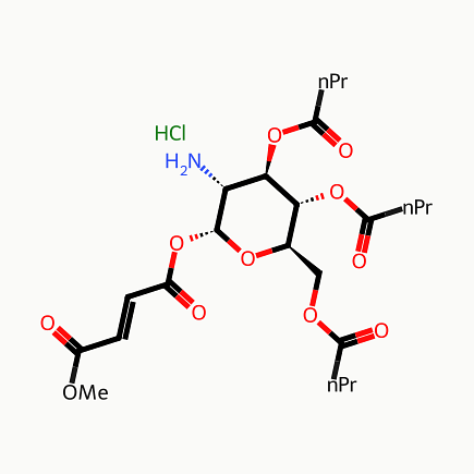 CCCC(=O)OC[C@H]1O[C@H](OC(=O)/C=C/C(=O)OC)[C@H](N)[C@@H](OC(=O)CCC)[C@@H]1OC(=O)CCC.Cl